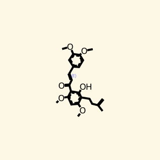 C=C(C)CCc1c(OC)cc(OC)c(C(=O)/C=C/c2ccc(OC)c(OC)c2)c1O